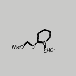 COCO[C@H]1CCCCN1[C]=O